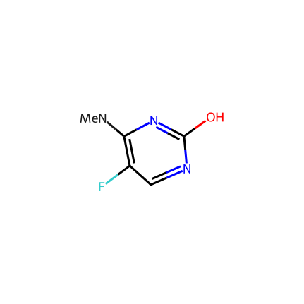 CNc1nc(O)ncc1F